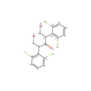 O=C(C(CBr)c1c(F)cccc1F)C(CBr)c1c(F)cccc1F